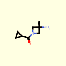 CC1(N)CN(C(=O)C2CC2)C1